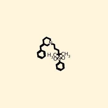 CC(C)(CCCN1CCC/C(=C/c2ccccc2)C1)S(=O)(=O)c1ccccc1